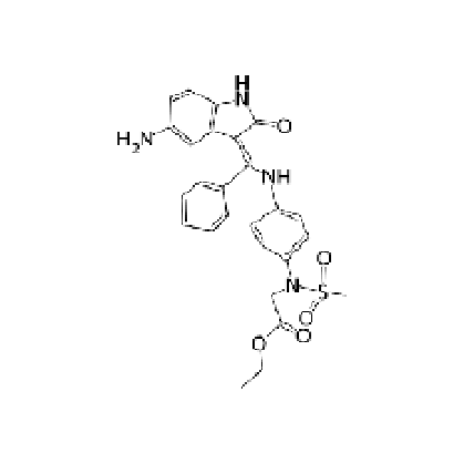 CCOC(=O)CN(c1ccc(N/C(=C2\C(=O)Nc3ccc(N)cc32)c2ccccc2)cc1)S(C)(=O)=O